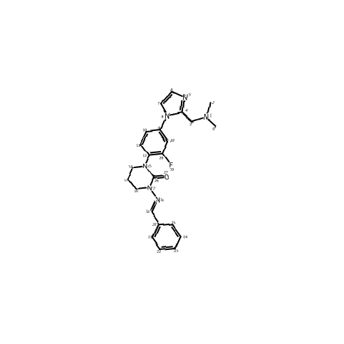 CN(C)Cc1nccn1-c1ccc(N2CCCN(N=Cc3ccccc3)C2=O)c(F)c1